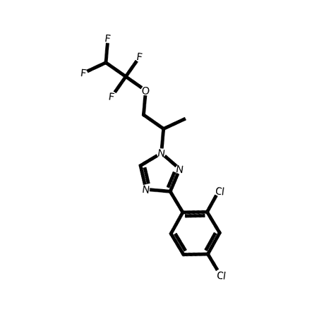 CC(COC(F)(F)C(F)F)n1cnc(-c2ccc(Cl)cc2Cl)n1